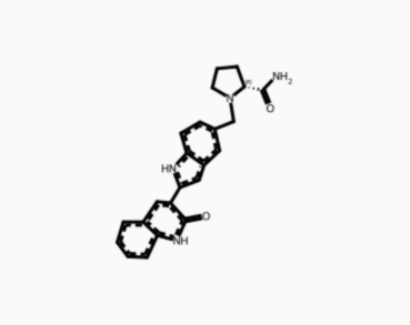 NC(=O)[C@H]1CCCN1Cc1ccc2[nH]c(-c3cc4ccccc4[nH]c3=O)cc2c1